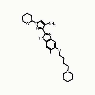 Nc1cn(C2CCCCO2)nc1-c1nc2cc(OCCCCN3CCCCC3)c(F)cc2[nH]1